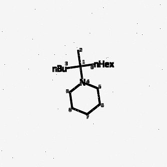 CCCCCCC(C)(CCCC)N1CCCCC1